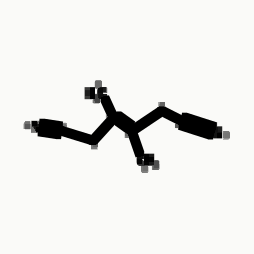 C/C(CC#N)=C(/C)CC#N